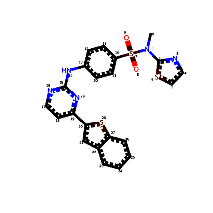 CN(c1nccs1)S(=O)(=O)c1ccc(Nc2nccc(-c3cc4ccccc4s3)n2)cc1